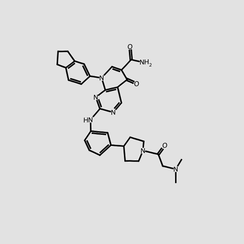 CN(C)CC(=O)N1CCC(c2cccc(Nc3ncc4c(=O)c(C(N)=O)cn(-c5ccc6c(c5)CCC6)c4n3)c2)CC1